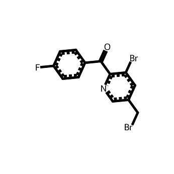 O=C(c1ccc(F)cc1)c1ncc(CBr)cc1Br